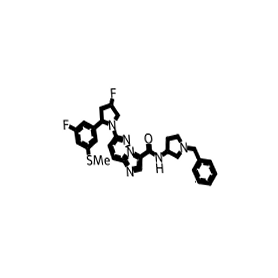 CSc1cc(F)cc(C2CC(F)CN2c2ccc3ncc(C(=O)NC4CCN(Cc5c[c]ccc5)C4)n3n2)c1